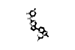 Cc1nc2ccc(-c3ccn4nc(N[C@@H]5CCN(C)C[C@@H]5F)ncc34)nc2n1CC(F)F